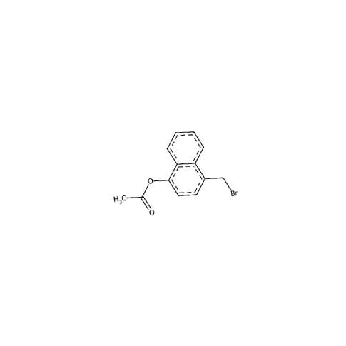 CC(=O)Oc1ccc(CBr)c2ccccc12